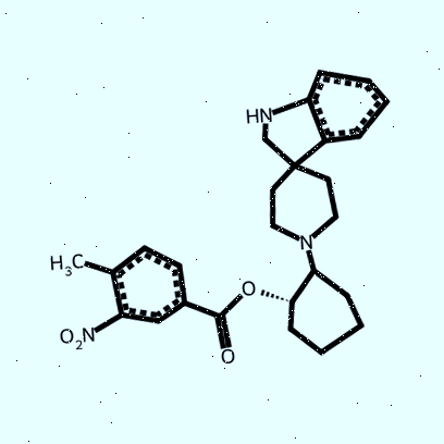 Cc1ccc(C(=O)O[C@H]2CCCCC2N2CCC3(CC2)CNc2ccccc23)cc1[N+](=O)[O-]